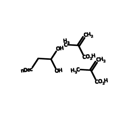 C=C(C)C(=O)O.C=C(C)C(=O)O.CCCCCCCCCCCC(O)O